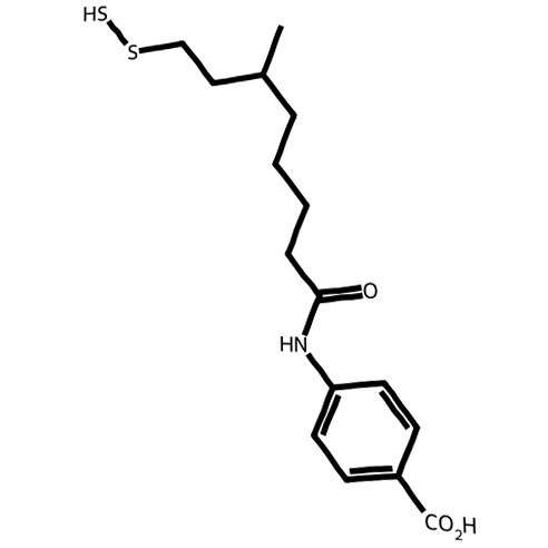 CC(CCCCC(=O)Nc1ccc(C(=O)O)cc1)CCSS